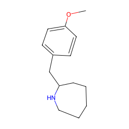 COc1ccc(CC2CCCCCN2)cc1